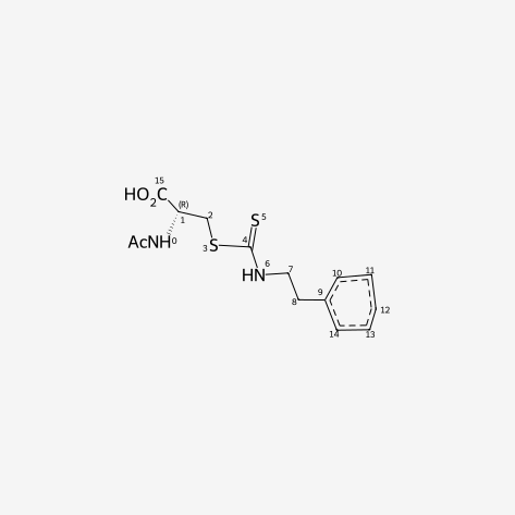 CC(=O)N[C@@H](CSC(=S)NCCc1ccccc1)C(=O)O